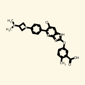 Cc1ccc(Oc2nc3nc(-c4ccc(N5CC(N(C)C)C5)cc4)c(Cl)cc3[nH]2)cc1C(=O)O